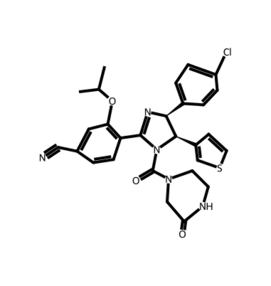 CC(C)Oc1cc(C#N)ccc1C1=N[C@@H](c2ccc(Cl)cc2)[C@@H](c2ccsc2)N1C(=O)N1CCNC(=O)C1